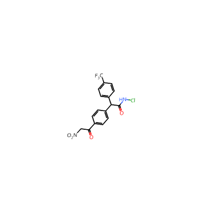 O=C(C[N+](=O)[O-])c1ccc(C(C(=O)NCl)c2ccc(C(F)(F)F)cc2)cc1